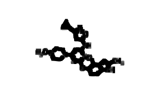 Cc1cc2c(Cl)c(Oc3nc(Nc4cc(C5CC5)no4)cc(N4CCN(C)CC4)n3)ccc2[nH]1